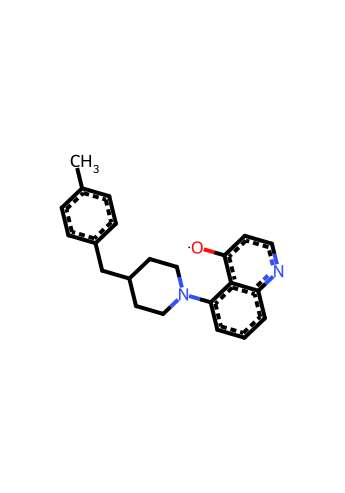 Cc1ccc(CC2CCN(c3cccc4nccc([O])c34)CC2)cc1